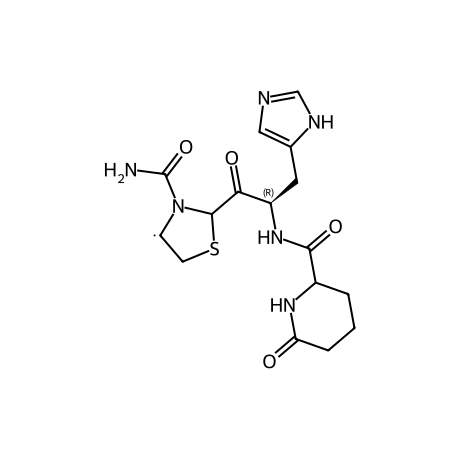 NC(=O)N1[CH]CSC1C(=O)[C@@H](Cc1cnc[nH]1)NC(=O)C1CCCC(=O)N1